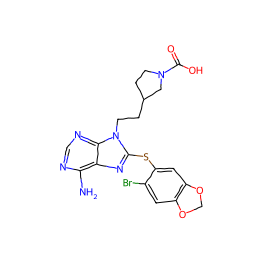 Nc1ncnc2c1nc(Sc1cc3c(cc1Br)OCO3)n2CCC1CCN(C(=O)O)C1